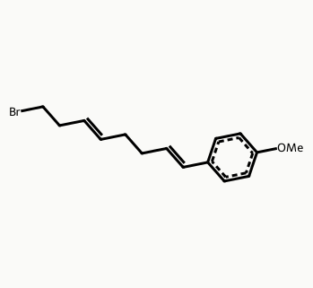 COc1ccc(C=CCCC=CCCBr)cc1